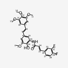 COc1cc(/C=C/c2cc(OC)c(OC)c(OC)c2)cc(NC(=O)/C=C/c2ccc(F)c(F)c2)c1O